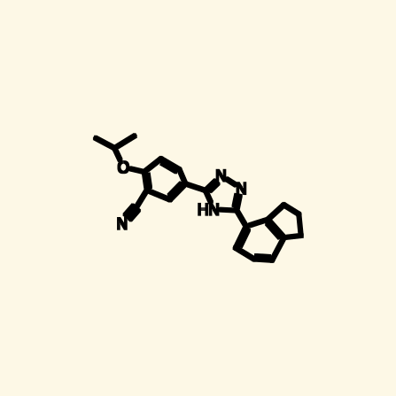 CC(C)Oc1ccc(-c2nnc(-c3cccc4c3CCC4)[nH]2)cc1C#N